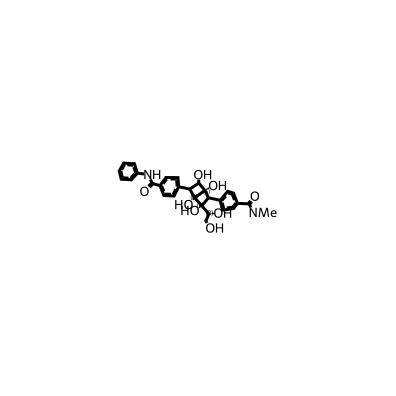 CNC(=O)c1ccc(C2[C@]3(O)C(O)C(c4ccc(C(=O)Nc5ccccc5)cc4)[C@]3(O)[C@]2(O)[C@H](O)CO)cc1